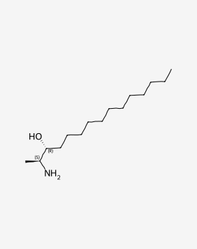 CCCCCCCCCCCC[C@@H](O)[C@H](C)N